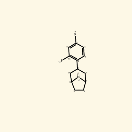 Fc1ccc(C2CC3CCC(C2)N3)c(F)c1